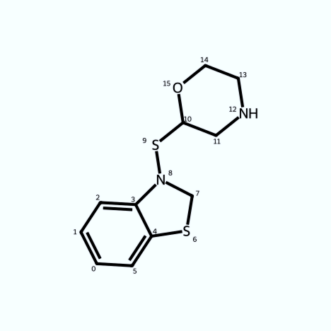 c1ccc2c(c1)SCN2SC1CNCCO1